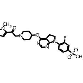 Cn1cccc1C(=O)CN1CCC(Oc2ncnc3c2CCN3c2ccc(S(C)(=O)=O)cc2F)CC1